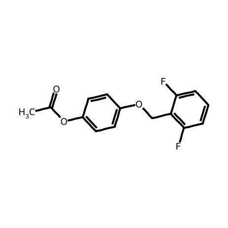 CC(=O)Oc1ccc(OCc2c(F)cccc2F)cc1